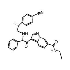 CCNC(=O)c1ccc2c(C(=O)[C@@H](NC[C@H](C)c3ccc(C#N)cc3)c3ccccc3)cnn2c1